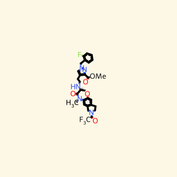 COC(=O)c1nn(Cc2ccccc2F)cc1CCN[C@H]1COc2cc3c(cc2N(C)C1=O)CN(C(=O)C(F)(F)F)CC3